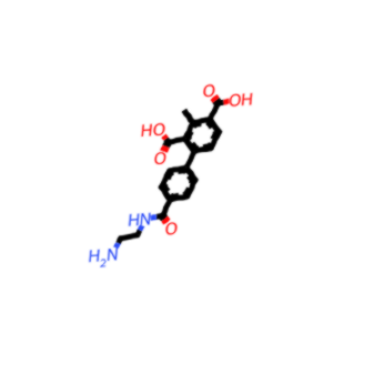 Cc1c(C(=O)O)ccc(-c2ccc(C(=O)NCCN)cc2)c1C(=O)O